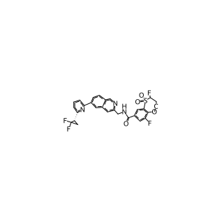 O=C(NCc1cc2cc(-c3cccc([C@@H]4CC4(F)F)n3)ccc2cn1)c1cc(F)c2c(c1)S(=O)(=O)[C@@H](F)CCO2